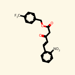 O=C(C=Cc1ccccc1[N+](=O)[O-])CC(=O)OCc1ccc(C(F)(F)F)cc1